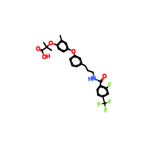 Cc1cc(Oc2cccc(CCCNC(=O)c3ccc(C(F)(F)F)cc3F)c2)ccc1OC(C)(C)C(=O)O